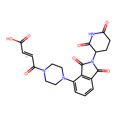 O=C(O)/C=C/C(=O)N1CCN(c2cccc3c2C(=O)N(C2CCC(=O)NC2=O)C3=O)CC1